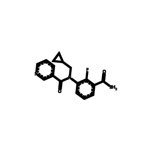 BC(=O)c1cccc(N(CC2CC2)C(=O)c2cccnc2)c1F